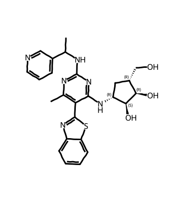 Cc1nc(NC(C)c2cccnc2)nc(N[C@@H]2C[C@H](CO)[C@@H](O)[C@H]2O)c1-c1nc2ccccc2s1